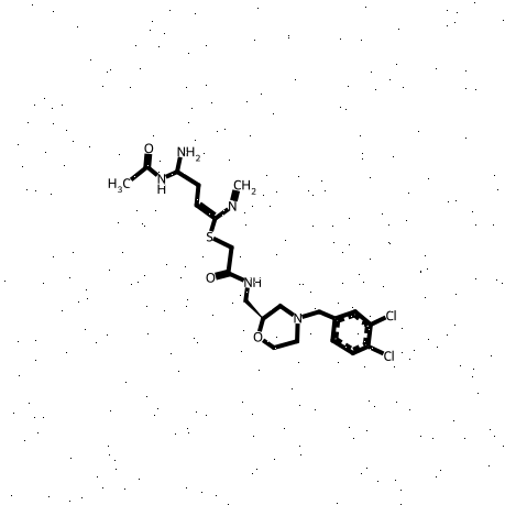 C=N/C(=C\CC(N)NC(C)=O)SCC(=O)NC[C@H]1CN(Cc2ccc(Cl)c(Cl)c2)CCO1